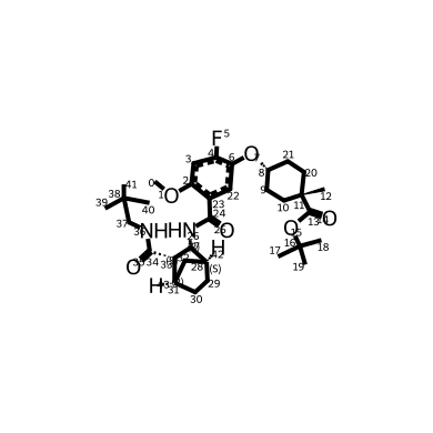 COc1cc(F)c(O[C@H]2CC[C@@](C)(C(=O)OC(C)(C)C)CC2)cc1C(=O)N[C@@H]1[C@H]2CC[C@H](C2)[C@@H]1C(=O)NCC(C)(C)C